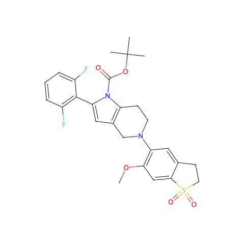 COc1cc2c(cc1N1CCc3c(cc(-c4c(F)cccc4F)n3C(=O)OC(C)(C)C)C1)CCS2(=O)=O